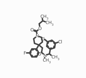 CC(C)COC(=O)N1CCC(CC(=O)N(C)C(C)c2cc(Cl)cc(Cl)c2)(c2cccc(F)c2)CC1